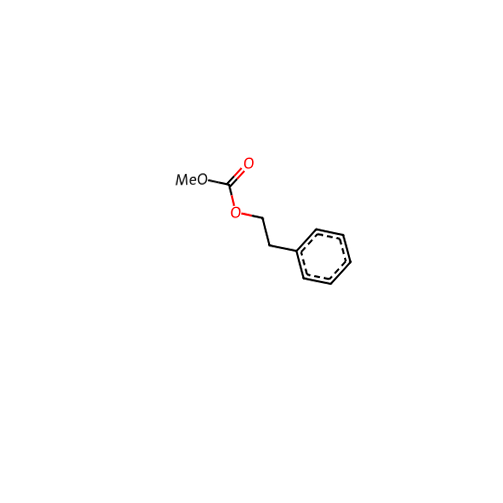 COC(=O)OCCc1ccccc1